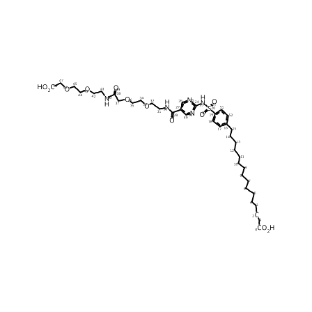 O=C(O)CCCCCCCCCCCCCCCc1ccc(S(=O)(=O)Nc2ncc(C(=O)NCCOCCOCC(=O)NCCOCCOCC(=O)O)cn2)cc1